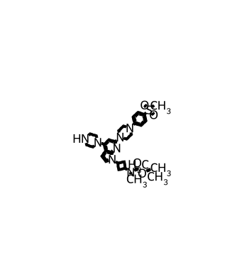 CN(C(=O)OC(C)(C)C)C1CC(n2ccc3c(N4CCNCC4)cc(N4CCN(c5ccc(S(C)(=O)=O)cc5)CC4)nc32)C1